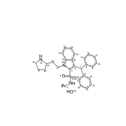 CC(C)NS(=O)(=O)c1c(C(c2ccccc2)c2ccccc2)c2ccccc2n1CCC1CCCN1.Cl